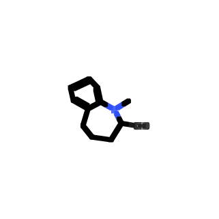 CN1c2ccccc2CCCC1C=O